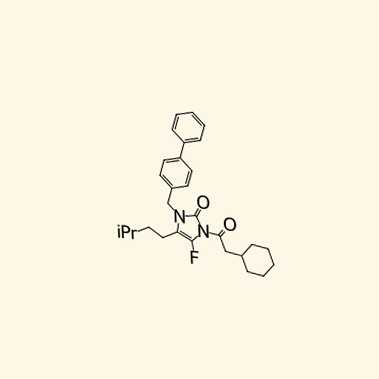 CC(C)CCc1c(F)n(C(=O)CC2CCCCC2)c(=O)n1Cc1ccc(-c2ccccc2)cc1